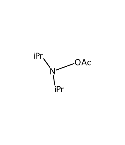 CC(=O)ON(C(C)C)C(C)C